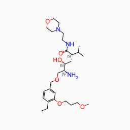 CCc1ccc(COC[C@H](N)[C@@H](O)C[C@H](C(=O)NCCN2CCOCC2)C(C)C)cc1OCCCOC